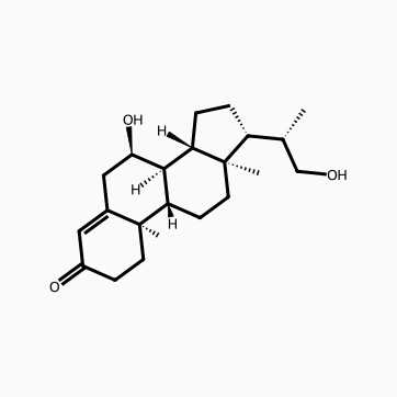 C[C@H](CO)[C@H]1CC[C@H]2[C@@H]3[C@H](O)CC4=CC(=O)CC[C@]4(C)[C@H]3CC[C@]12C